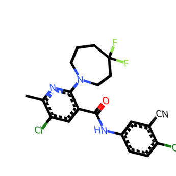 Cc1nc(N2CCCC(F)(F)CC2)c(C(=O)Nc2ccc(Cl)c(C#N)c2)cc1Cl